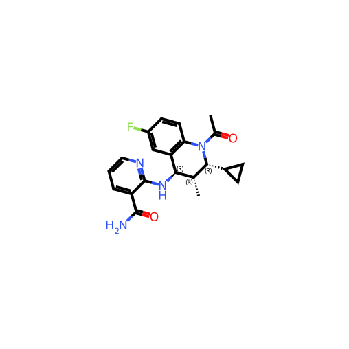 CC(=O)N1c2ccc(F)cc2[C@H](Nc2ncccc2C(N)=O)[C@@H](C)[C@H]1C1CC1